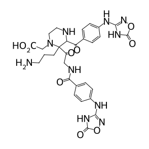 NCCCC1(C(=O)CNC(=O)c2ccc(Nc3noc(=O)[nH]3)cc2)C(C(=O)c2ccc(Nc3noc(=O)[nH]3)cc2)NCCN1CC(=O)O